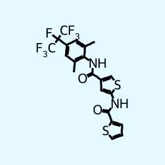 Cc1cc(C(F)(C(F)(F)F)C(F)(F)F)cc(C)c1NC(=O)c1csc(NC(=O)c2cccs2)c1